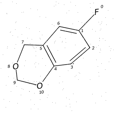 Fc1c[c]c2c(c1)COCO2